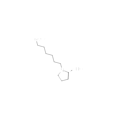 CCCCCCCCCCCCCCN1CCC[C@@H]1C=O